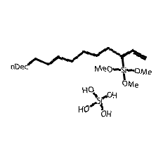 C=CC(CCCCCCCCCCCCCCCCC)[Si](OC)(OC)OC.O[Si](O)(O)O